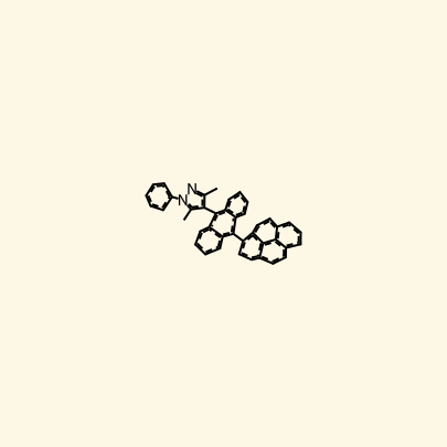 Cc1nn(-c2ccccc2)c(C)c1-c1c2ccccc2c(-c2ccc3ccc4cccc5ccc2c3c45)c2ccccc12